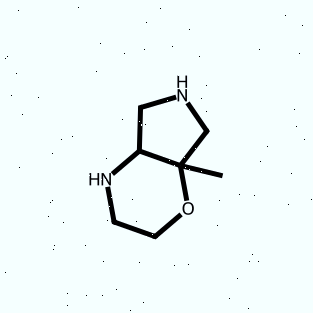 CC12CNCC1NCCO2